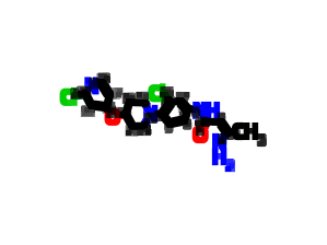 CC(N)=CC(=O)Nc1ccc(N2CCC(Oc3ccnc(Cl)c3)CC2)c(Cl)c1